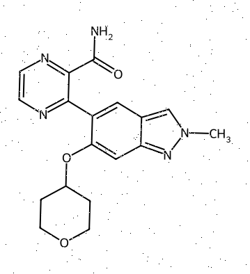 Cn1cc2cc(-c3nccnc3C(N)=O)c(OC3CCOCC3)cc2n1